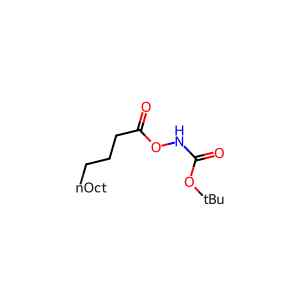 CCCCCCCCCCCC(=O)ONC(=O)OC(C)(C)C